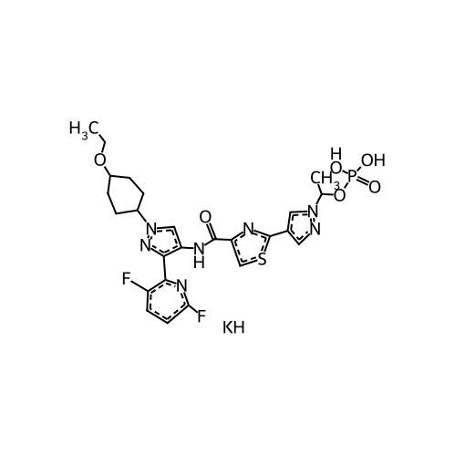 CCOC1CCC(n2cc(NC(=O)c3csc(-c4cnn(C(C)OP(=O)(O)O)c4)n3)c(-c3nc(F)ccc3F)n2)CC1.[KH]